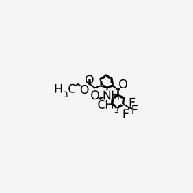 CCOC(=O)Cc1cccc(C(=O)c2cccc(C(F)(F)F)c2)c1NC(C)=O